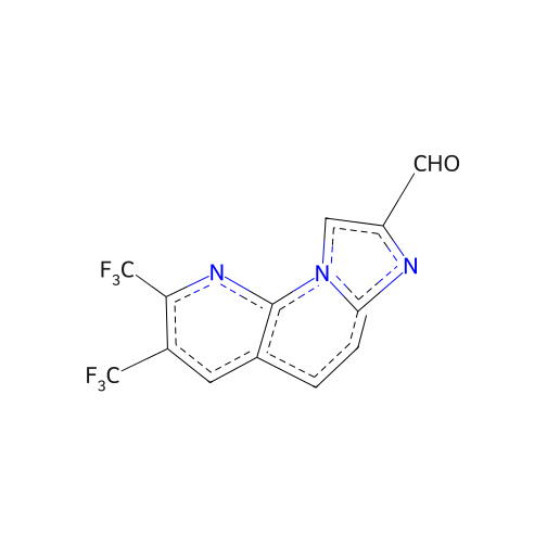 O=Cc1cn2c(ccc3cc(C(F)(F)F)c(C(F)(F)F)nc32)n1